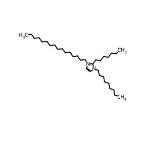 CCCCCCCCCCCCCCCCN1C=CN(CCCCCCCCC)C1CCCCCCC